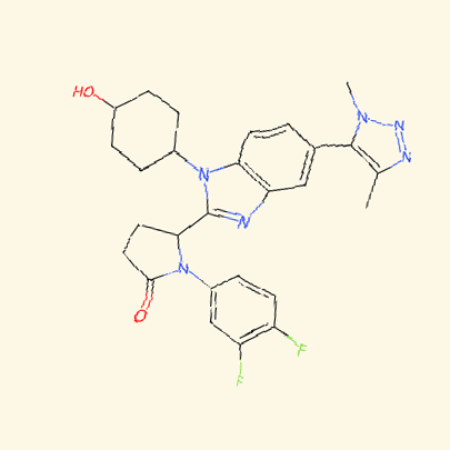 Cc1nnn(C)c1-c1ccc2c(c1)nc(C1CCC(=O)N1c1ccc(F)c(F)c1)n2C1CCC(O)CC1